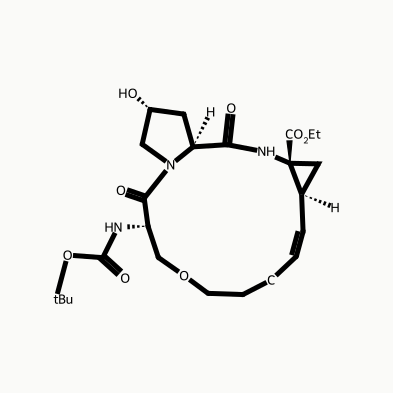 CCOC(=O)[C@@]12C[C@H]1C=CCCCOC[C@H](NC(=O)OC(C)(C)C)C(=O)N1C[C@H](O)C[C@H]1C(=O)N2